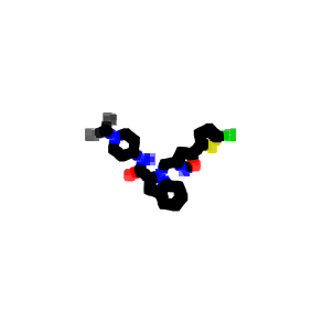 CCC(CC)N1CCC(NC(=O)c2cc3ccccc3n2Cc2cc(-c3ccc(Cl)s3)on2)CC1